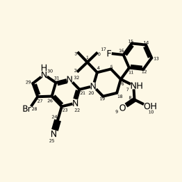 CC(C)(C)C1CC(NC(=O)O)(c2ccccc2F)CCN1c1nc(C#N)c2c(Br)c[nH]c2n1